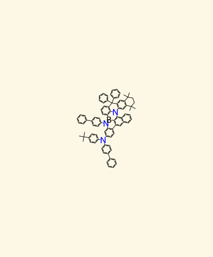 CC(C)(C)c1ccc(N(c2ccc(-c3ccccc3)cc2)c2ccc3c(c2)N(c2ccc(-c4ccccc4)cc2)B2c4cccc5c4N(c4cc6c(cc4C5(c4ccccc4)c4ccccc4)C(C)(C)CCC6(C)C)c4c2c-3cc2ccccc42)cc1